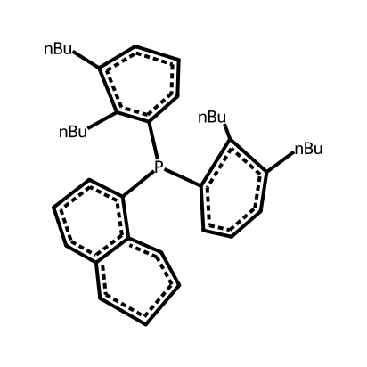 CCCCc1cccc(P(c2cccc(CCCC)c2CCCC)c2cccc3ccccc23)c1CCCC